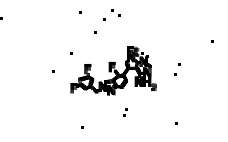 CCn1cc(-c2ccc3nn(Cc4cc(F)cc(F)c4)cc3c2F)c2c(N)ncnc21